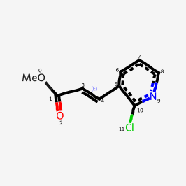 COC(=O)/C=C/c1cccnc1Cl